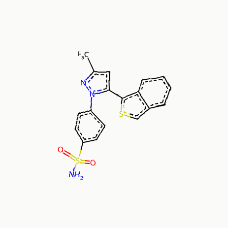 NS(=O)(=O)c1ccc(-n2nc(C(F)(F)F)cc2-c2scc3ccccc23)cc1